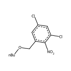 CCCCOCc1cc(Cl)cc(Cl)c1[N+](=O)[O-]